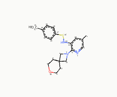 Cc1cnc(N2CC3(CCOCC3)C2)c(NSc2ccc(C(=O)O)cc2)c1